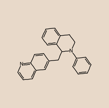 c1ccc(N2CCc3ccccc3C2Cc2ccc3ncccc3c2)cc1